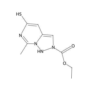 CCOC(=O)N1C=C2C=C(S)N=C(C)N2N1